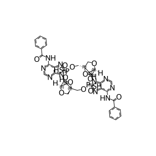 O=C(Nc1ncnc2c1ncn2C1O[C@@]23CO[C@@H]1[C@@H]2O[P@@](=O)(S)OC[C@@]12CO[C@@H]([C@H](n4cnc5c(NC(=O)c6ccccc6)ncnc54)O1)[C@@H]2O[P@](=O)(S)OC3)c1ccccc1